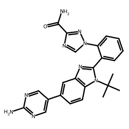 CC(C)(C)n1c(-c2ccccc2-n2cnc(C(N)=O)n2)nc2cc(-c3cnc(N)nc3)ccc21